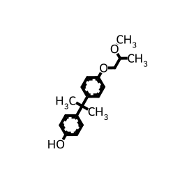 COC(C)COc1ccc(C(C)(C)c2ccc(O)cc2)cc1